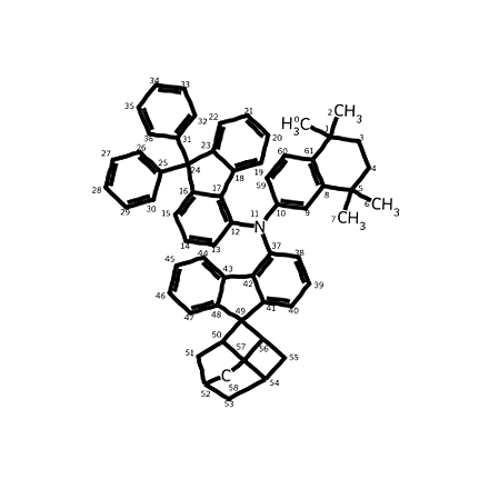 CC1(C)CCC(C)(C)c2cc(N(c3cccc4c3-c3ccccc3C4(c3ccccc3)c3ccccc3)c3cccc4c3-c3ccccc3C43C4CC5CC6CC3C64C5)ccc21